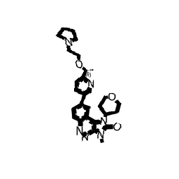 C[C@@H](OCCN1CCCC1)c1ccc(-c2ccc3nnc4c(c3c2)n(C2CCOCC2)c(=O)n4C)cn1